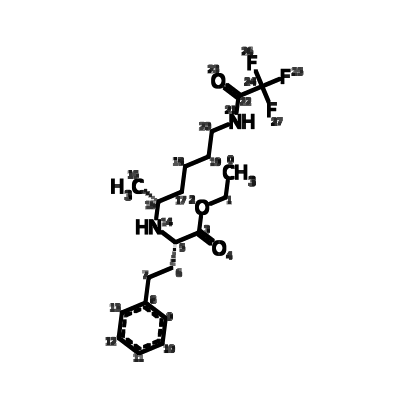 CCOC(=O)[C@H](CCc1ccccc1)N[C@H](C)CCCCNC(=O)C(F)(F)F